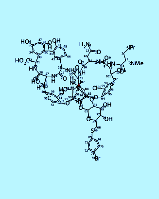 CN[C@@H](CC(C)C)C(=O)NC1C(=O)NC(CC(N)=O)C(=O)NC2C(=O)NC3C(=O)N[C@H](C(=O)NC(C(=O)O)c4cc(O)cc(O)c4-c4cc3ccc4O)[C@H](O)c3ccc(c(Cl)c3)Oc3cc2cc(c3OC2OC(CSc3ccc(Br)cc3)C(O)C(O)C2OC2CC(N)(I)C(O)C(C)O2)Oc2ccc(cc2Cl)C1O